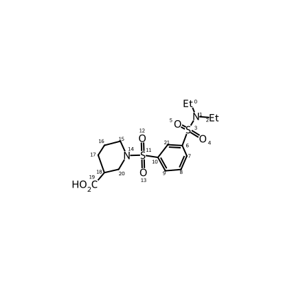 CCN(CC)S(=O)(=O)c1cccc(S(=O)(=O)N2CCCC(C(=O)O)C2)c1